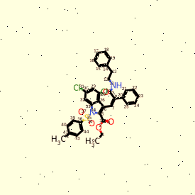 CCOC(=O)c1c(C=C(C(=O)NCCc2ccccc2)c2ccccc2)c2c(Cl)cc(Cl)cc2n1S(=O)(=O)c1ccc(C)cc1